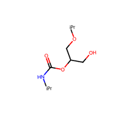 CC(C)NC(=O)OC(CO)COC(C)C